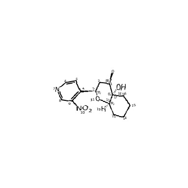 C[C@@H]1C[C@H](c2ccncc2[N+](=O)[O-])O[C@@H]2CCCC[C@]12O